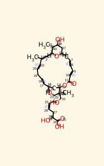 CC1=C\[C@H]2O[C@@H](C/C=C/C=C/C(=O)O[C@@H]3C[C@@H](/C=C/C\C=C\1)O[C@@H](C/C=C\C[C@@H](O)C(=O)O)[C@]3(C)CO)C[C@H](O)[C@H]2C